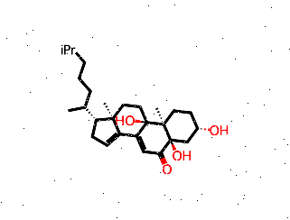 CC(C)CCCC(C)[C@H]1CC=C2C3=CC(=O)[C@@]4(O)C[C@@H](O)CC[C@]4(C)[C@@]3(O)CC[C@@]21C